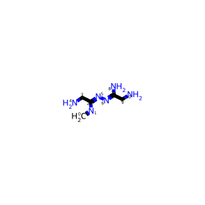 C=N/C(CN)=N\N=C(/N)CN